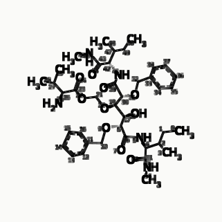 CCC(C)[C@H](NC(=O)[C@H](OCc1ccccc1)[C@H](O)[C@@H](OCOC(=O)[C@@H](N)C(C)C)[C@@H](OCc1ccccc1)C(=O)N[C@H](C(=O)NC)C(C)CC)C(=O)NC